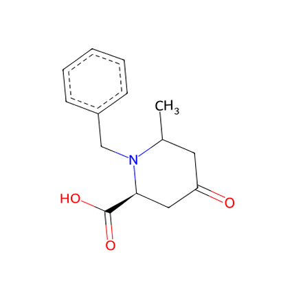 CC1CC(=O)C[C@@H](C(=O)O)N1Cc1ccccc1